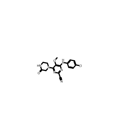 COc1c(Nc2ccc(Cl)cc2)nc(C#N)nc1N1CCNC(=O)C1